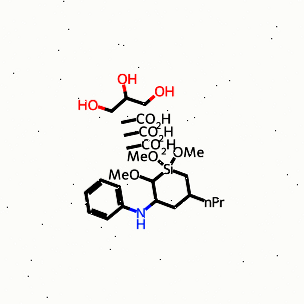 CC(=O)O.CC(=O)O.CC(=O)O.CCCC1CC(Nc2ccccc2)C(OC)[Si](OC)(OC)C1.OCC(O)CO